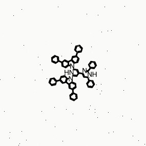 C1=C(C2=CC(c3ccccc3)NC(c3ccccc3)=N2)C=C(n2c3ccc(-c4ccccc4)cc3c3cc(-c4ccccc4)ccc32)NC1n1c2ccc(-c3ccccc3)cc2c2cc(-c3ccccc3)ccc21